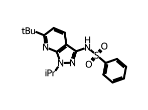 CC(C)n1nc(NS(=O)(=O)c2ccccc2)c2ccc(C(C)(C)C)nc21